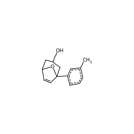 Cc1cccc(C23C=CC(CC(O)C2)O3)c1